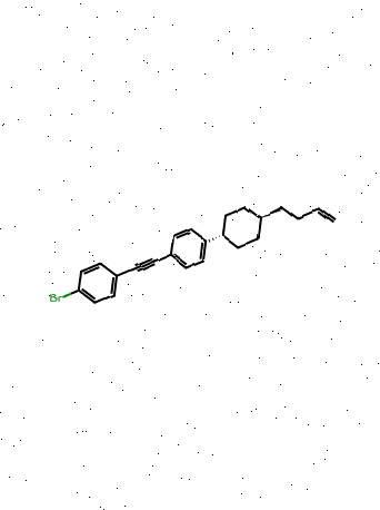 C=CCC[C@H]1CC[C@H](c2ccc(C#Cc3ccc(Br)cc3)cc2)CC1